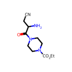 CCOC(=O)N1CCN(C(=O)C(N)CC#N)CC1